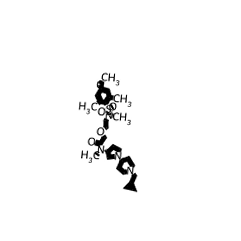 COc1cc(C)c(S(=O)(=O)N(C)CCOCC(=O)N(C)[C@@H]2CCN(C3CCN(CC4CC4)CC3)C2)c(C)c1